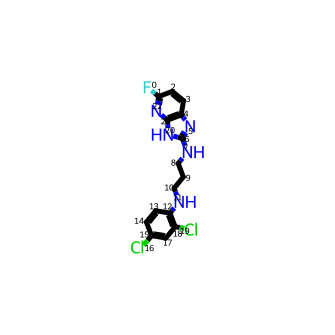 Fc1ccc2nc(NCCCNc3ccc(Cl)cc3Cl)[nH]c2n1